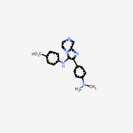 CN(C)c1ccc(-c2nc3cnccn3c2Nc2ccc(C(=O)O)cc2)cc1